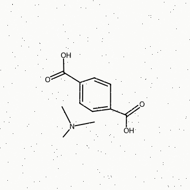 CN(C)C.O=C(O)c1ccc(C(=O)O)cc1